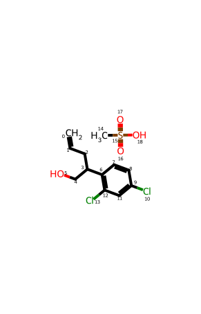 C=CCC(CO)c1ccc(Cl)cc1Cl.CS(=O)(=O)O